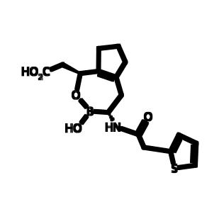 O=C(O)C[C@@H]1OB(O)[C@@H](NC(=O)Cc2cccs2)CC2=C1CCC2